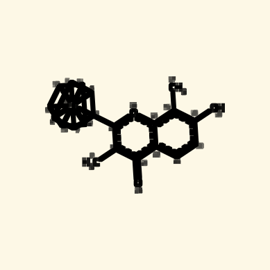 Cc1c([C]23[CH]4[CH]5[CH]6[CH]2[Fe]56432789[CH]3[CH]2[CH]7[CH]8[CH]39)oc2c(C)c(O)ccc2c1=O